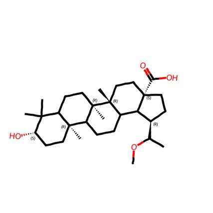 COC(C)[C@@H]1CC[C@]2(C(=O)O)CC[C@]3(C)C(CCC4[C@@]5(C)CC[C@H](O)C(C)(C)C5CC[C@]43C)C12